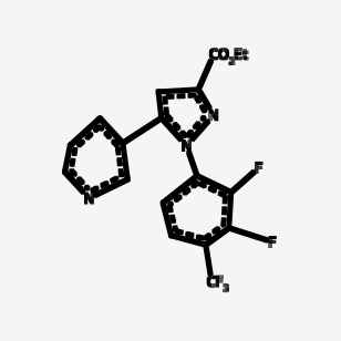 CCOC(=O)c1cc(-c2cccnc2)n(-c2ccc(C(F)(F)F)c(F)c2F)n1